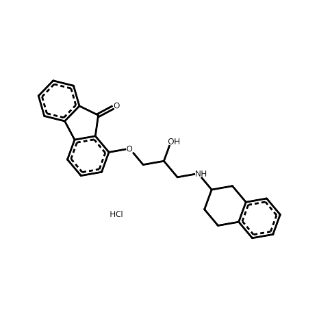 Cl.O=C1c2ccccc2-c2cccc(OCC(O)CNC3CCc4ccccc4C3)c21